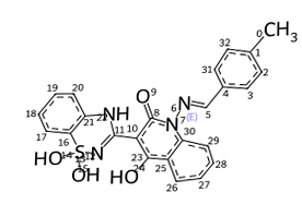 Cc1ccc(/C=N/n2c(=O)c(C3=NS(O)(O)c4ccccc4N3)c(O)c3ccccc32)cc1